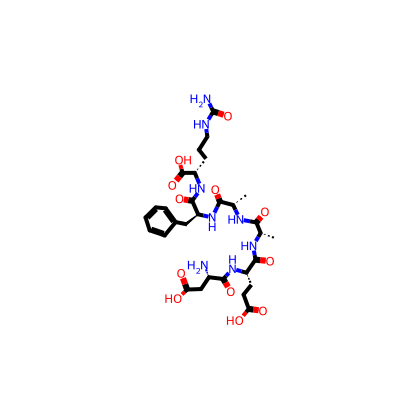 C[C@H](NC(=O)[C@H](C)NC(=O)[C@H](CCC(=O)O)NC(=O)[C@@H](N)CC(=O)O)C(=O)N[C@@H](Cc1ccccc1)C(=O)N[C@@H](CCCNC(N)=O)C(=O)O